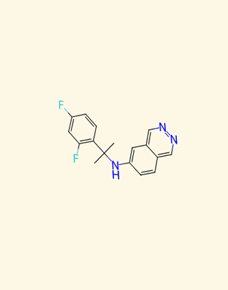 CC(C)(Nc1ccc2cnncc2c1)c1ccc(F)cc1F